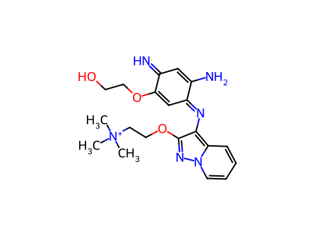 C[N+](C)(C)CCOc1nn2ccccc2c1/N=C1\C=C(OCCO)C(=N)C=C1N